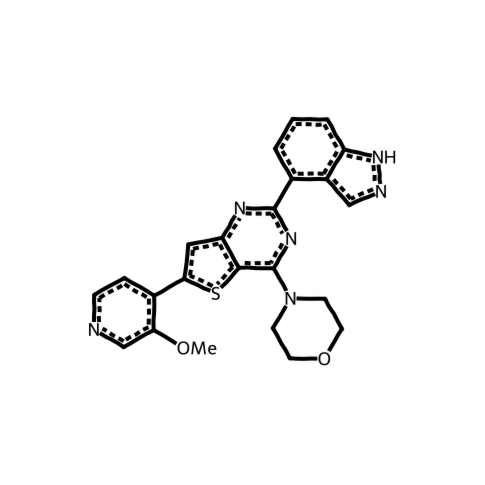 COc1cnccc1-c1cc2nc(-c3cccc4[nH]ncc34)nc(N3CCOCC3)c2s1